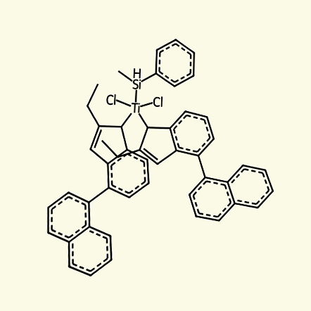 CCC1=Cc2c(-c3cccc4ccccc34)cccc2[CH]1[Ti]([Cl])([Cl])([CH]1C(CC)=Cc2c(-c3cccc4ccccc34)cccc21)[SiH](C)c1ccccc1